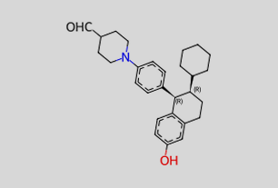 O=CC1CCN(c2ccc([C@@H]3c4ccc(O)cc4CC[C@@H]3C3CCCCC3)cc2)CC1